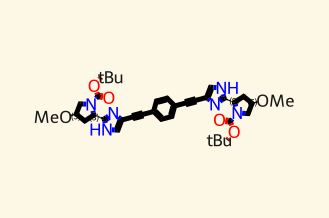 CO[C@H]1C[C@@H](c2nc(C#Cc3ccc(C#Cc4c[nH]c([C@@H]5C[C@H](OC)CN5C(=O)OC(C)(C)C)n4)cc3)c[nH]2)N(C(=O)OC(C)(C)C)C1